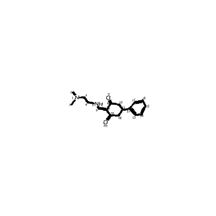 CN(C)CCNC=C1C(=O)CC(c2ccccc2)CC1=O